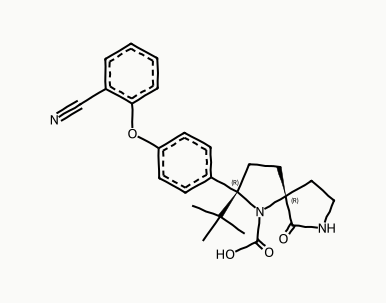 CC(C)(C)[C@@]1(c2ccc(Oc3ccccc3C#N)cc2)CC[C@]2(CCNC2=O)N1C(=O)O